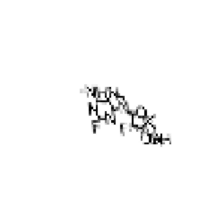 CNc1nc(F)nc2c1ncn2[C@@H]1O[C@](C)(CO)[C@@H](O)[C@@H]1F